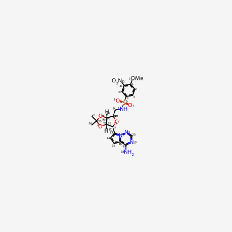 COc1ccc(S(=O)(=O)NC[C@H]2O[C@@H](c3ccc4c(N)ncnn34)[C@@H]3OC(C)(C)O[C@@H]32)cc1[N+](=O)[O-]